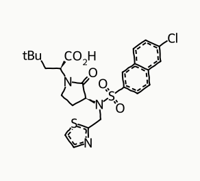 CC(C)(C)C[C@@H](C(=O)O)N1CC[C@H](N(Cc2nccs2)S(=O)(=O)c2ccc3cc(Cl)ccc3c2)C1=O